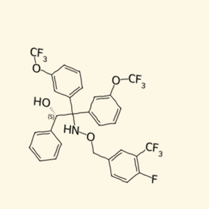 O[C@@H](c1ccccc1)C(NOCc1ccc(F)c(C(F)(F)F)c1)(c1cccc(OC(F)(F)F)c1)c1cccc(OC(F)(F)F)c1